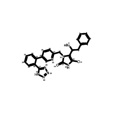 CCCCC(Cc1ccccc1)c1c(Cl)[nH]c(=O)n1Cc1ccc(-c2ccccc2-c2nnn[nH]2)cn1